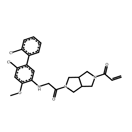 C=CC(=O)N1CC2CN(C(=O)CNc3cc(-c4ccccc4Cl)c(Cl)cc3OC)CC2C1